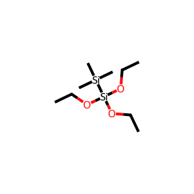 CCO[Si](OCC)(OCC)[Si](C)(C)C